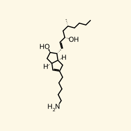 CCCC[C@@H](C)C[C@H](O)/C=C/[C@@H]1[C@H]2CC(CCCCCN)=C[C@H]2C[C@H]1O